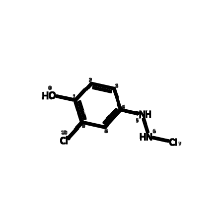 Oc1ccc(NNCl)cc1Cl